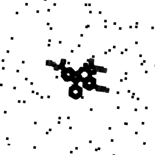 COC(=O)C1(C)Cn2c(c(C3CCCCC3)c3ccc(C(=O)OC(C)(C)C)cc32)-c2ccc(OC)cc2C1C